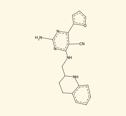 N#Cc1c(NCC2CCc3ccccc3N2)nc(N)nc1-c1ccco1